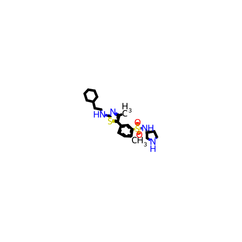 Cc1ccc(-c2sc(NCCC3CCCCC3)nc2C)cc1S(=O)(=O)N[C@@H]1CCNC1